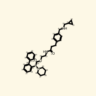 O=C(CCc1ccc(CNCC2CC2)cc1)NCCOC(=O)N(c1ccccc1-c1ccccc1)N1CC[CH]CC1